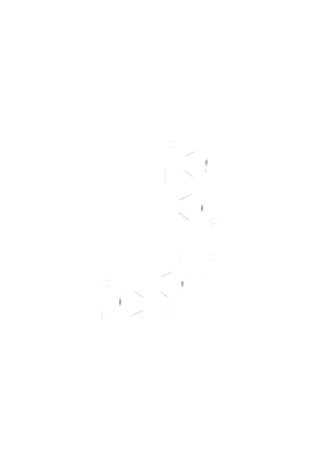 CCCc1ccc(-c2cc(F)c(CCC(F)(F)Oc3ccc(-c4cc(F)c(F)c(F)c4)c(F)c3)c(F)c2)c(F)c1F